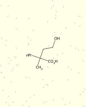 CCCC(C)(CCO)C(=O)O